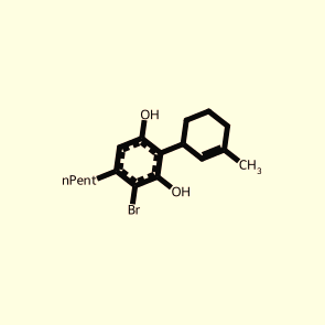 CCCCCc1cc(O)c(C2C=C(C)CCC2)c(O)c1Br